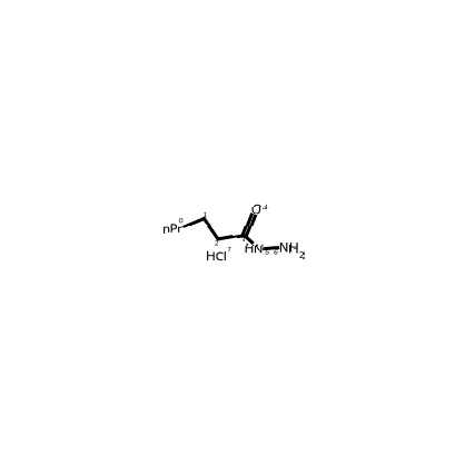 CCCCCC(=O)NN.Cl